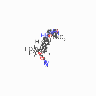 CC(OCCOCCN=[N+]=[N-])C(C[C@@H](C)C1CCC2C3CC[C@@H]4C[C@H](NC(=O)C5CCCN5c5ccc([N+](=O)[O-])c6nonc56)CC[C@]4(C)C3CC[C@@]21C)C(=O)O